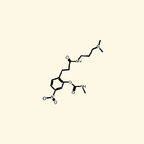 CNC(=O)Oc1cc([N+](=O)[O-])ccc1CCC(=O)NCCCN(C)C